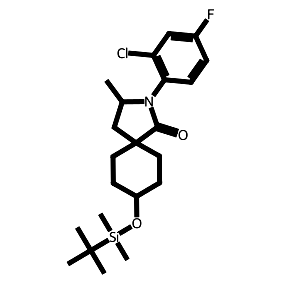 CC1CC2(CCC(O[Si](C)(C)C(C)(C)C)CC2)C(=O)N1c1ccc(F)cc1Cl